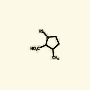 CC1CCN(S)C1C(=O)O